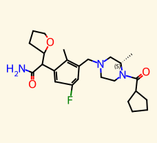 Cc1c(CN2CCN(C(=O)C3CCCC3)[C@@H](C)C2)cc(F)cc1C(C(N)=O)C1CCCO1